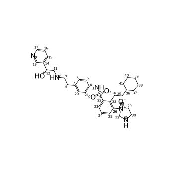 O=S(=O)(Nc1ccc(CCNCC(O)c2cccnc2)cc1)c1cccc([N+]2([O-])CCNC2)c1CCC1CCCCC1